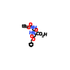 CC(C)(C)OC(=O)NCC(=O)NC(CC(=O)OCc1ccccc1)C(=O)O